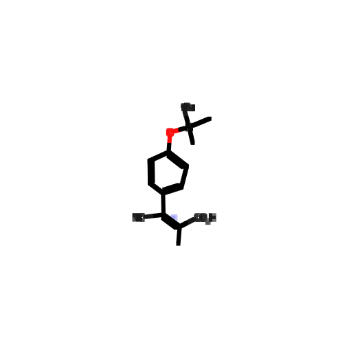 C/C(C(=O)O)=C(\C#N)c1ccc(O[Si](C)(C)C(C)(C)C)cc1